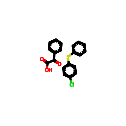 Clc1ccc(Sc2ccccc2)cc1.O=C(O)C(=O)c1ccccc1